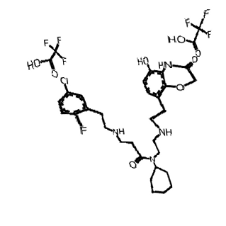 O=C(O)C(F)(F)F.O=C(O)C(F)(F)F.O=C1COc2c(CCNCCN(C(=O)CCNCCc3cc(Cl)ccc3F)C3CCCCC3)ccc(O)c2N1